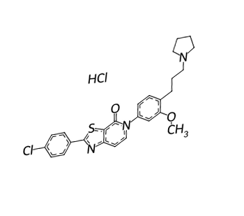 COc1cc(-n2ccc3nc(-c4ccc(Cl)cc4)sc3c2=O)ccc1CCCN1CCCC1.Cl